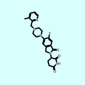 Cc1cccnc1CN1CCN(c2cc3c(cc2F)C(=O)N(C2CCC(=O)NC2=O)C3)CC1